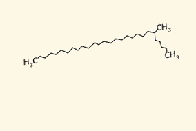 CCCCCCCCCCCCCCCCCCCCCCC(C)CCCCC